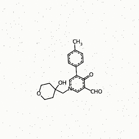 Cc1ccc(-c2cn(CC3(O)CCOCC3)cc(C=O)c2=O)cc1